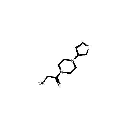 CC(C)(C)CC(=O)N1CCN(C2CCOC2)CC1